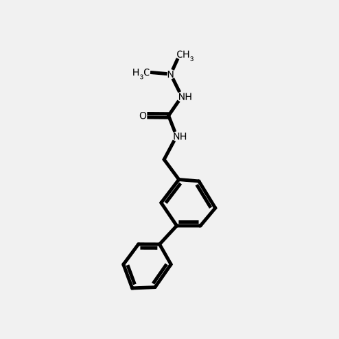 CN(C)NC(=O)NCc1cccc(-c2ccccc2)c1